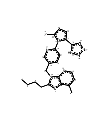 CCCCc1nc2c(C)ccnc2n1Cc1ccc(-n2c(Br)ccc2-c2nnn[nH]2)nc1